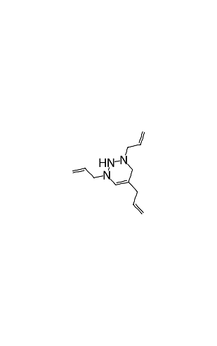 C=CCC1=CN(CC=C)NN(CC=C)C1